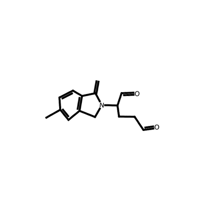 C=C1c2ccc(C)cc2CN1C(C=O)CCC=O